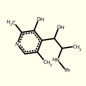 Cc1cnc(C)c(O)c1C(O)C(C)NC(C)C